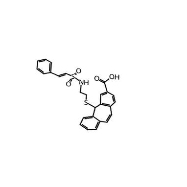 O=C(O)c1ccc2c(c1)C(SCCNS(=O)(=O)C=Cc1ccccc1)c1ccccc1C=C2